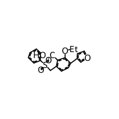 CCOc1c(-c2ccoc2)ccc(CS(=O)(=O)c2ccccc2)c1C(=O)O